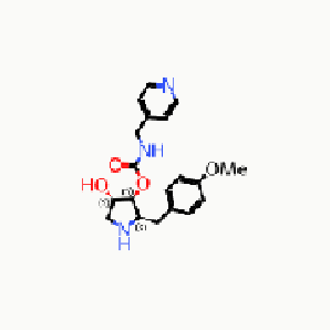 COc1ccc(C[C@H]2NC[C@H](O)[C@H]2OC(=O)NCc2ccncc2)cc1